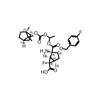 CC(OC(=O)O[C@@H]1C[C@@H]2CC[C@@]1(C)C2(C)C)OC(=O)[C@@]1(N)[C@H]2[C@@H](C[C@H]1OCc1ccc(F)cc1)[C@]2(F)C(=O)O